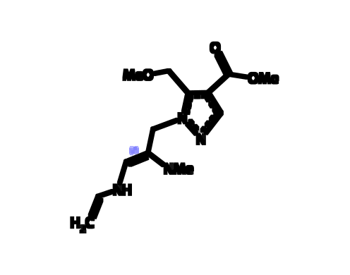 C=CN/C=C(/Cn1ncc(C(=O)OC)c1COC)NC